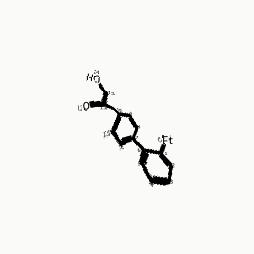 CCc1ccccc1-c1ccc(C(=O)CO)cc1